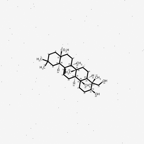 CC1(C)CC[C@]2(C(=O)O)CC[C@]3(C)C(=CC[C@@H]4[C@@]5(C)CC[C@H](O)[C@@](C)(CO)[C@@H]5CC[C@]43C)[C@H]2C1